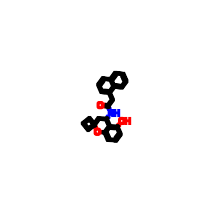 O=C(Cc1cccc2ccccc12)NC1CC2(CCC2)Oc2cccc(O)c21